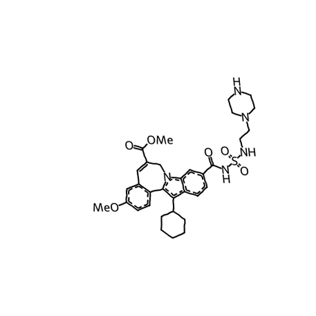 COC(=O)C1=Cc2cc(OC)ccc2-c2c(C3CCCCC3)c3ccc(C(=O)NS(=O)(=O)NCCN4CCNCC4)cc3n2C1